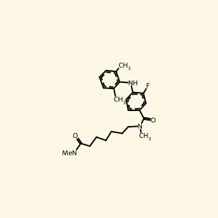 CNC(=O)CCCCCCN(C)C(=O)c1ccc(Nc2c(C)cccc2C)c(F)c1